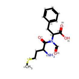 CSCCC(N)C(=O)N(C=O)C(Cc1ccccc1)C(=O)O